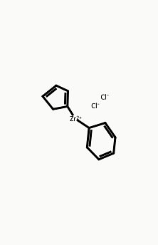 C1=CC[C]([Zr+2][c]2ccccc2)=C1.[Cl-].[Cl-]